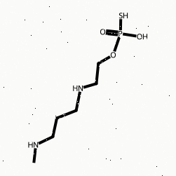 CNCCCNCCOP(=O)(O)S